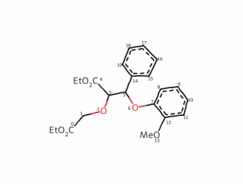 CCOC(=O)COC(C(=O)OCC)C(Oc1ccccc1OC)c1ccccc1